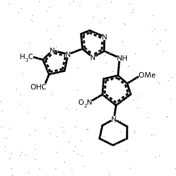 COc1cc(N2CCCCC2)c([N+](=O)[O-])cc1Nc1nccc(-n2cc(C=O)c(C)n2)n1